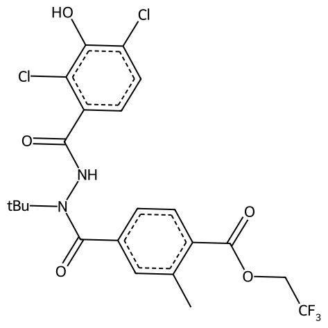 Cc1cc(C(=O)N(NC(=O)c2ccc(Cl)c(O)c2Cl)C(C)(C)C)ccc1C(=O)OCC(F)(F)F